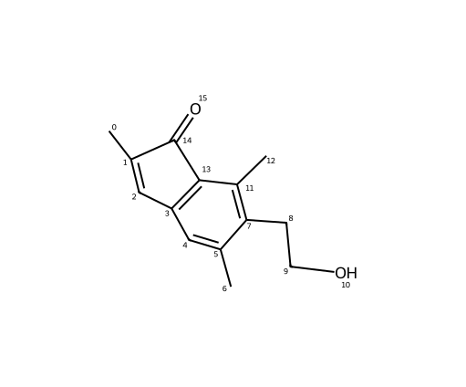 CC1=Cc2cc(C)c(CCO)c(C)c2C1=O